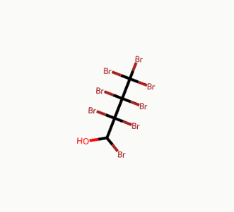 OC(Br)C(Br)(Br)C(Br)(Br)C(Br)(Br)Br